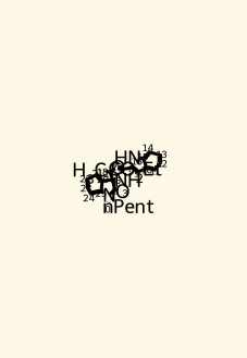 CCCCCN1C(=O)C(NC(=O)c2cc3ccccc3[nH]2)(C(C)C(=O)OCC)c2ccccc21